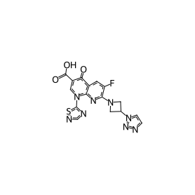 O=C(O)c1cn(-c2ncns2)c2nc(N3CC(n4ccnn4)C3)c(F)cc2c1=O